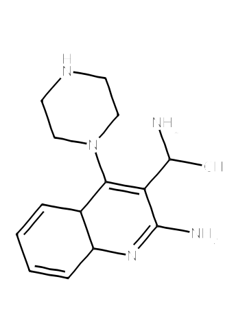 CC(N)C1=C(N2CCNCC2)C2C=CC=CC2N=C1N